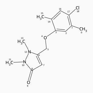 Cc1cc(OCc2cc(=O)n(C)n2C)c(C)cc1Cl